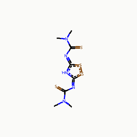 CN(C)C(=S)N=c1[nH]c(=NC(=S)N(C)C)ss1